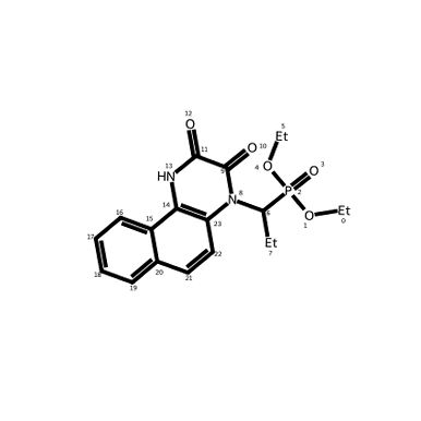 CCOP(=O)(OCC)C(CC)n1c(=O)c(=O)[nH]c2c3ccccc3ccc21